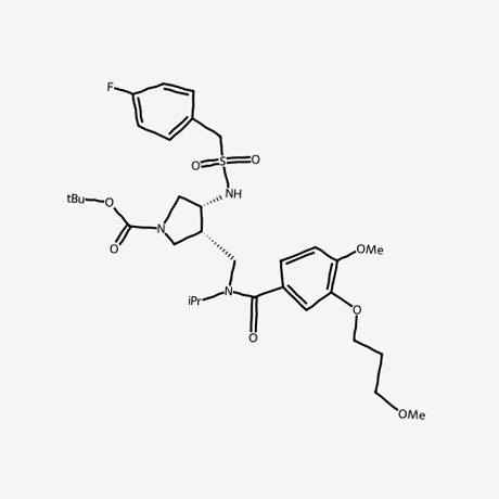 COCCCOc1cc(C(=O)N(C[C@@H]2CN(C(=O)OC(C)(C)C)C[C@@H]2NS(=O)(=O)Cc2ccc(F)cc2)C(C)C)ccc1OC